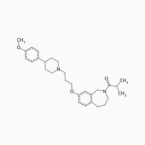 COc1ccc(C2CCN(CCCOc3ccc4c(c3)CN(C(=O)C(C)C)CCC4)CC2)cc1